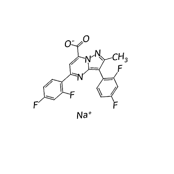 Cc1nn2c(C(=O)[O-])cc(-c3ccc(F)cc3F)nc2c1-c1ccc(F)cc1F.[Na+]